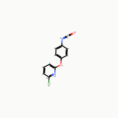 O=C=Nc1ccc(Oc2cccc(Cl)n2)cc1